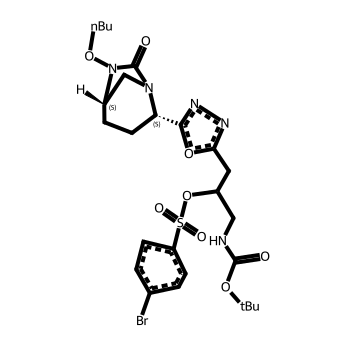 CCCCON1C(=O)N2C[C@@H]1CC[C@H]2c1nnc(CC(CNC(=O)OC(C)(C)C)OS(=O)(=O)c2ccc(Br)cc2)o1